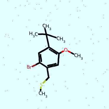 COc1cc(CSC)c(Br)cc1C(C)(C)C